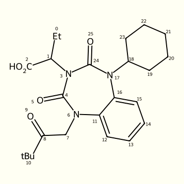 CCC(C(=O)O)N1C(=O)N(CC(=O)C(C)(C)C)c2ccccc2N(C2CCCCC2)C1=O